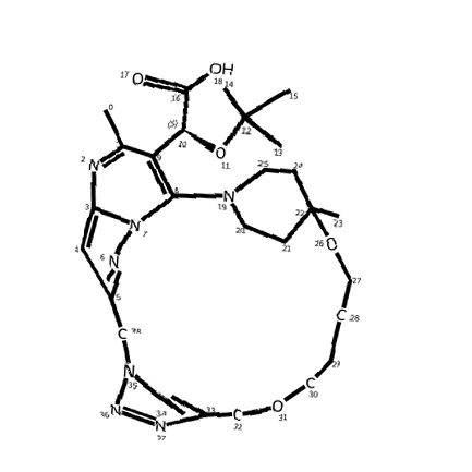 Cc1nc2cc3nn2c(c1[C@H](OC(C)(C)C)C(=O)O)N1CCC(C)(CC1)OCCCCOCc1cn(nn1)C3